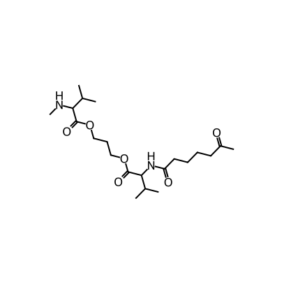 CNC(C(=O)OCCCOC(=O)C(NC(=O)CCCCC(C)=O)C(C)C)C(C)C